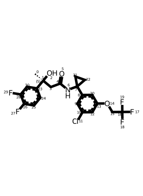 C[C@](O)(CC(=O)NC1(c2cc(Cl)cc(OCC(F)(F)F)c2)CC1)c1ccc(F)c(F)c1